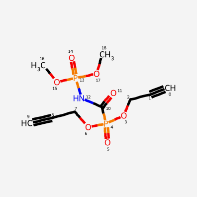 C#CCOP(=O)(OCC#C)C(=O)NP(=O)(OC)OC